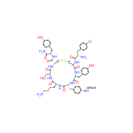 CCCCCNc1ccc(C[C@H]2NC(=O)[C@H](Cc3ccc(O)cc3)NC(=O)[C@H](NC(=O)[C@@H](N)Cc3ccc(Cl)cc3)CSSC[C@@H](C(=O)N[C@H](Cc3ccc(O)cc3)C(N)=O)NC(=O)[C@H]([C@@H](C)O)NC(=O)[C@H](CCCCN)NC2=O)cc1